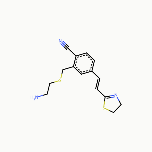 N#Cc1ccc(/C=C/C2=NCCS2)cc1CSCCN